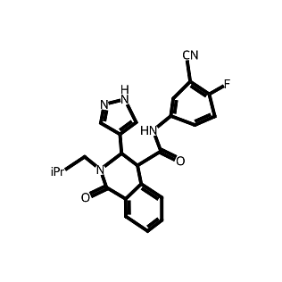 CC(C)CN1C(=O)c2ccccc2C(C(=O)Nc2ccc(F)c(C#N)c2)C1c1cn[nH]c1